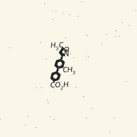 Cc1cc(-c2ccc(-c3ccc(C(=O)O)cc3)c(C)c2)no1